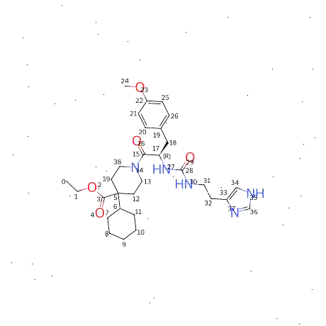 CCOC(=O)C1(C2CCCCC2)CCN(C(=O)[C@@H](Cc2ccc(OC)cc2)NC(=O)NCCc2c[nH]cn2)CC1